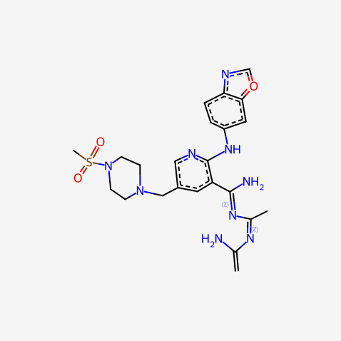 C=C(N)/N=C(C)\N=C(/N)c1cc(CN2CCN(S(C)(=O)=O)CC2)cnc1Nc1ccc2ncoc2c1